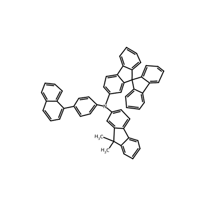 CC1(C)c2ccccc2-c2ccc(N(c3ccc(-c4cccc5ccccc45)cc3)c3ccc4c(c3)C3(c5ccccc5-c5ccccc53)c3ccccc3-4)cc21